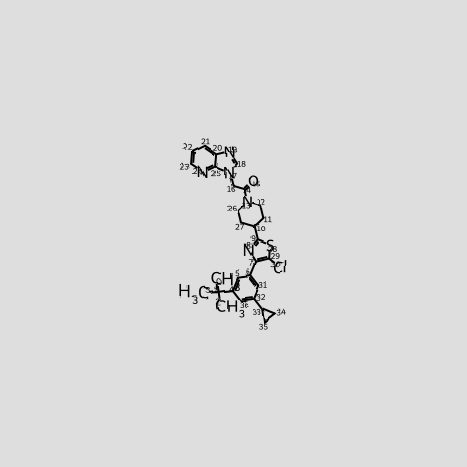 CC(C)(C)c1cc(-c2nc(C3CCN(C(=O)Cn4cnc5cccnc54)CC3)sc2Cl)cc(C2CC2)c1